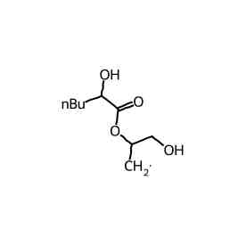 [CH2]C(CO)OC(=O)C(O)CCCC